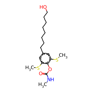 CNC(=O)Oc1c(SC)cc(CCCCCCCCO)cc1SC